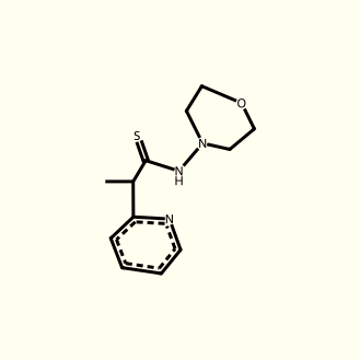 CC(C(=S)NN1CCOCC1)c1ccccn1